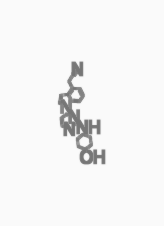 N#CCc1cccc2c1ccn2-c1ccnc(N[C@H]2CC[C@H](O)CC2)n1